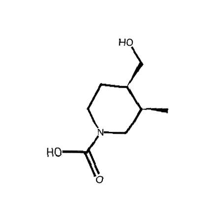 C[C@H]1CN(C(=O)O)CC[C@H]1CO